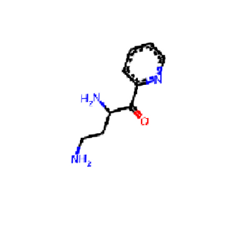 NCCC(N)C(=O)c1ccccn1